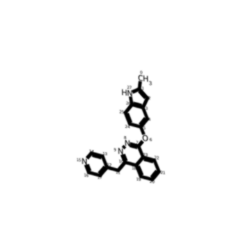 Cc1cc2cc(Oc3nnc(Cc4ccncc4)c4ccccc34)ccc2[nH]1